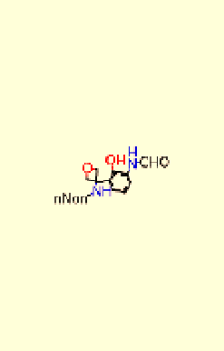 CCCCCCCCCNC1(c2cccc(NC=O)c2O)COC1